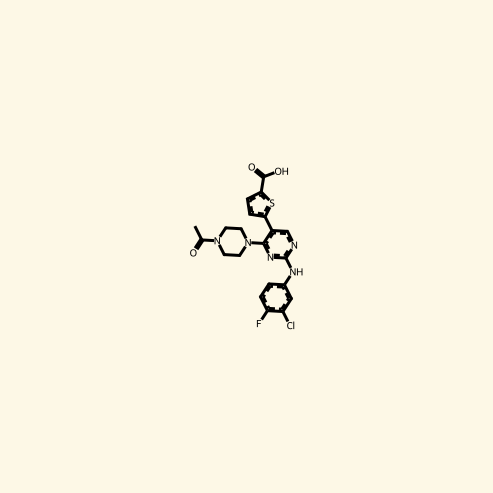 CC(=O)N1CCN(c2nc(Nc3ccc(F)c(Cl)c3)ncc2-c2ccc(C(=O)O)s2)CC1